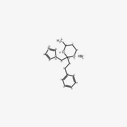 Br.CC1CCOC(CCc2ccccc2)(Cn2ccnc2)O1